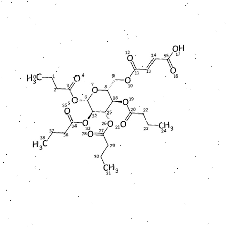 CCCC(=O)O[C@@H]1O[C@H](COC(=O)/C=C/C(=O)O)[C@@H](OC(=O)CCC)[C@H](OC(=O)CCC)[C@H]1OC(=O)CCC